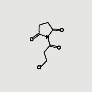 O=C(CCCl)N1C(=O)CCC1=O